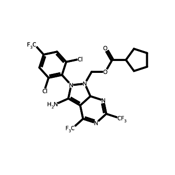 NC1=C2C(C(F)(F)F)=NC(C(F)(F)F)=NC2N(COC(=O)C2CCCC2)N1c1c(Cl)cc(C(F)(F)F)cc1Cl